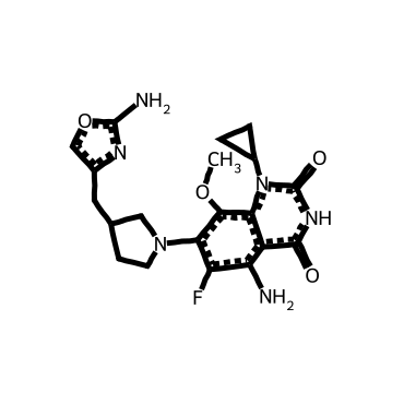 COc1c(N2CCC(Cc3coc(N)n3)C2)c(F)c(N)c2c(=O)[nH]c(=O)n(C3CC3)c12